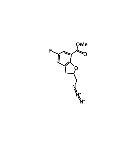 COC(=O)c1cc(F)cc2c1OC(CN=[N+]=[N-])C2